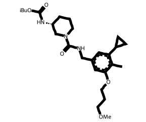 COCCCOc1cc(CNC(=O)N2CCC[C@@H](NC(=O)OCC(C)C)C2)cc(C2CC2)c1C